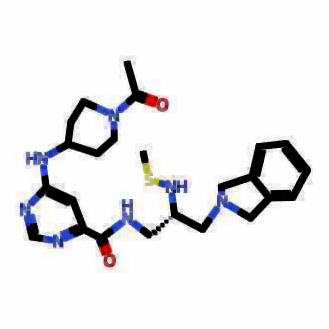 CSN[C@@H](CNC(=O)c1cc(NC2CCN(C(C)=O)CC2)ncn1)CN1Cc2ccccc2C1